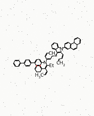 C=C/C=C\c1c(CC/C=C(\C=C/C)N(/C(CC)=C(/C=C\C)C2=CC=CCC2)c2ccc(-c3ccc(-c4ccccc4)cc3)cc2)c2ccccc2n1-c1ccc2c(c1)C=CC1C=CC=CC21